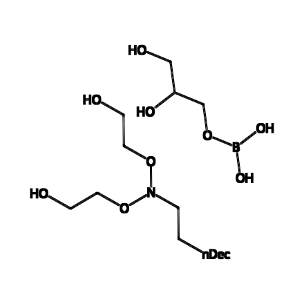 CCCCCCCCCCCCN(OCCO)OCCO.OCC(O)COB(O)O